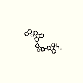 CC1(C)c2ccccc2-c2cc(-c3ccc4oc5ccc(-c6ccc7c(c6)c6ccccc6c6ccc8c9ccc%10ccccc%10c9oc8c67)cc5c4c3)ccc21